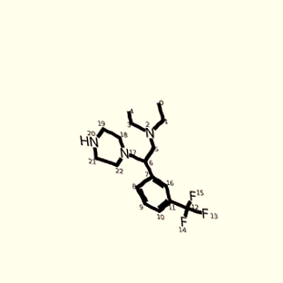 CCN(CC)CC(c1cccc(C(F)(F)F)c1)N1CCNCC1